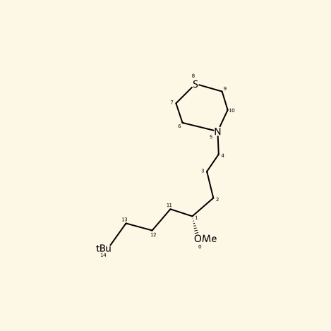 CO[C@@H](CCCN1CCSCC1)CCCC(C)(C)C